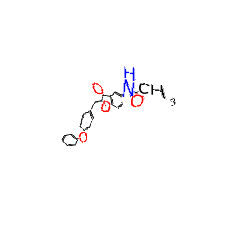 CC(=O)Nc1ccc2c(c1)C(=O)/C(=C/c1ccc(Oc3ccccc3)cc1)O2